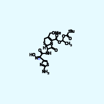 COCC1=C(C(=O)OC(C)OC(=O)C(C)(C)C)N2C(=O)C(NC(=O)/C(=N\O)c3csc(N)n3)[C@@H]2SC1